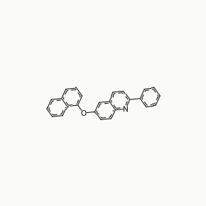 c1ccc(-c2ccc3cc(Oc4cccc5ccccc45)ccc3n2)cc1